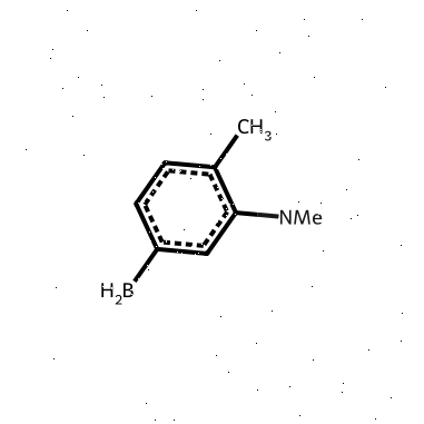 Bc1ccc(C)c(NC)c1